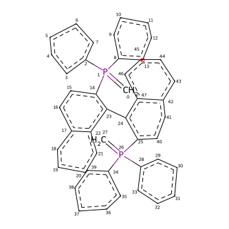 C=P(c1ccccc1)(c1ccccc1)c1ccc2ccccc2c1-c1c(P(=C)(c2ccccc2)c2ccccc2)ccc2ccccc12